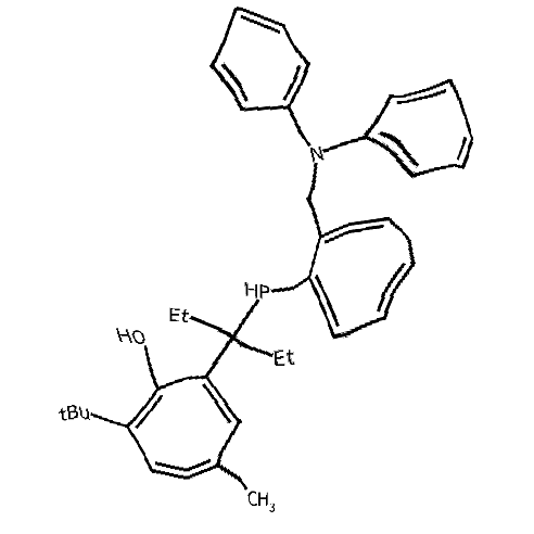 CCC(CC)(Pc1ccccc1CN(c1ccccc1)c1ccccc1)c1cc(C)cc(C(C)(C)C)c1O